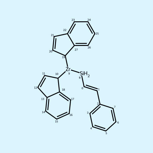 C(=Cc1ccccc1)[SiH2][Zr]([CH]1C=Cc2ccccc21)[CH]1C=Cc2ccccc21